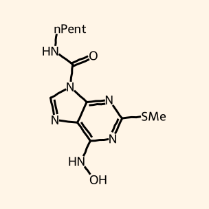 CCCCCNC(=O)n1cnc2c(NO)nc(SC)nc21